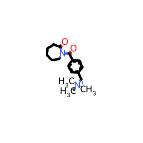 C[N+](C)(C)Cc1ccc(C(=O)N2CCCCCC2=O)cc1